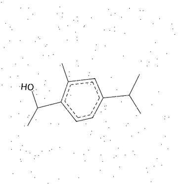 Cc1cc(C(C)C)ccc1C(C)O